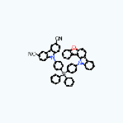 N#Cc1ccc2c(c1)c1cc(C#N)ccc1n2-c1ccc([Si](c2ccccc2)(c2ccccc2)c2ccc(-n3c4ccccc4c4ccc5oc6ccccc6c5c43)cc2)cc1